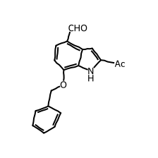 CC(=O)c1cc2c(C=O)ccc(OCc3ccccc3)c2[nH]1